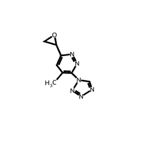 Cc1cc(C2CO2)nnc1-n1cnnn1